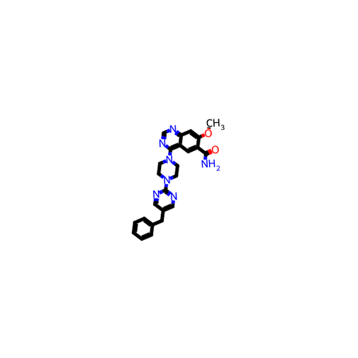 COc1cc2ncnc(N3CCN(c4ncc(Cc5ccccc5)cn4)CC3)c2cc1C(N)=O